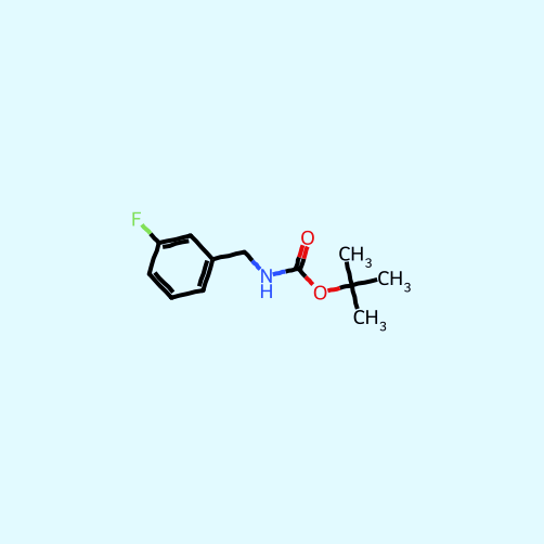 CC(C)(C)OC(=O)NCc1cccc(F)c1